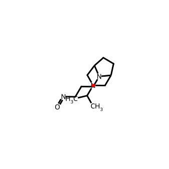 CC(C)N1CC2CCC(C1)N2CCCN=O